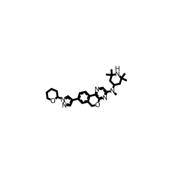 CN(c1cnc2c(n1)OCc1cc(-c3cnn(C4CCCCO4)c3)ccc1-2)C1CC(C)(C)NC(C)(C)C1